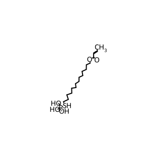 CC=CC(=O)OCCCCCCCCCCCCCC[SH]=P(O)(O)O